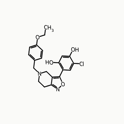 CCOc1ccc(CN2CCc3noc(-c4cc(Cl)c(O)cc4O)c3C2)cc1